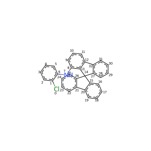 Clc1ccccc1Nc1cccc2c1C1(c3ccccc3-c3ccccc31)c1ccccc1-2